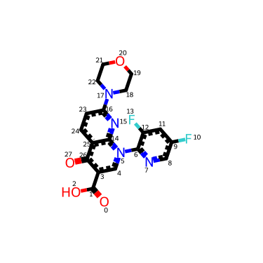 O=C(O)c1cn(-c2ncc(F)cc2F)c2nc(N3CCOCC3)ccc2c1=O